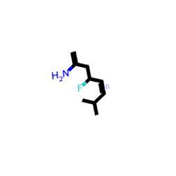 C=C(N)CC(F)/C=C\C(C)C